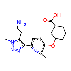 Cc1nc(-c2nnn(C)c2CCN)ccc1OC1CCCC(C(=O)O)C1